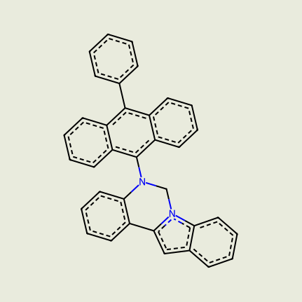 c1ccc(-c2c3ccccc3c(N3Cn4c(cc5ccccc54)-c4ccccc43)c3ccccc23)cc1